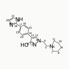 Oc1nn(CCN2CCCCC2)cc1-c1ccc(-c2ncc[nH]2)cc1